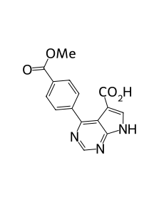 COC(=O)c1ccc(-c2ncnc3[nH]cc(C(=O)O)c23)cc1